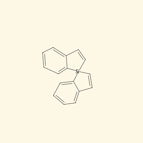 C1=C[Si]2(C=Cc3ccccc32)c2ccccc21